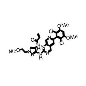 C=CC(=O)Nc1cn(CCOC)nc1Nc1ncc2cc(-c3c(Cl)c(OC)cc(OC)c3Cl)ncc2n1